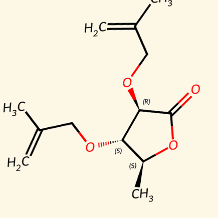 C=C(C)CO[C@H]1[C@H](C)OC(=O)[C@@H]1OCC(=C)C